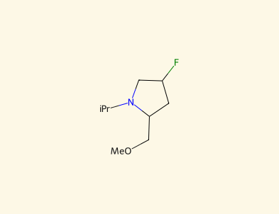 COCC1CC(F)CN1C(C)C